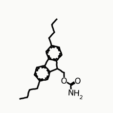 CCCCc1ccc2c(c1)-c1ccc(CCCC)cc1C2COC(N)=O